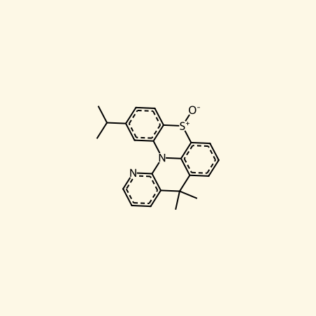 CC(C)c1ccc2c(c1)N1c3ncccc3C(C)(C)c3cccc(c31)[S+]2[O-]